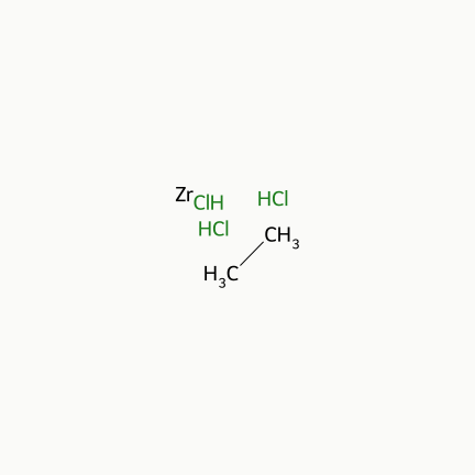 CC.Cl.Cl.Cl.[Zr]